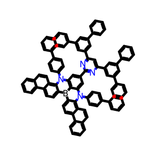 c1ccc(-c2ccc(N3c4cc(-c5nc(-c6cc(-c7ccccc7)cc(-c7ccccc7)c6)cc(-c6cc(-c7ccccc7)cc(-c7ccccc7)c6)n5)cc5c4B(c4ccc6c(ccc7ccccc76)c43)c3ccc4c(ccc6ccccc64)c3N5c3ccc(-c4ccccc4)cc3)cc2)cc1